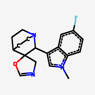 Cn1cc(C2N3CCC(CC3)C23CN=CO3)c2cc(F)ccc21